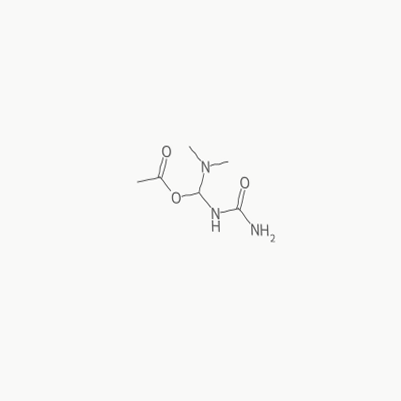 CC(=O)OC(NC(N)=O)N(C)C